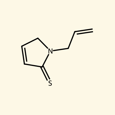 C=CCN1CC=CC1=S